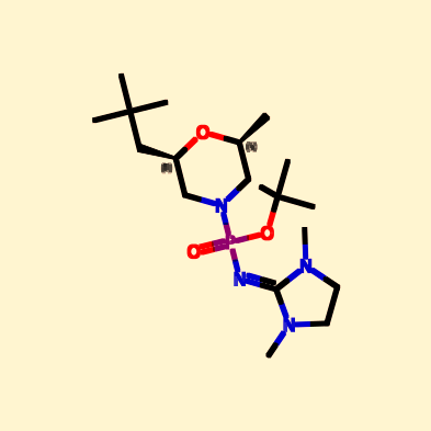 C[C@H]1CN(P(=O)(N=C2N(C)CCN2C)OC(C)(C)C)C[C@@H](CC(C)(C)C)O1